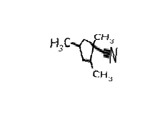 CC1CC(C)C(C)(C#N)C1